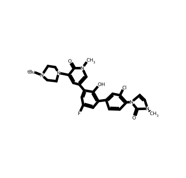 Cn1cc(-c2cc(F)cc(-c3ccc(-n4ccn(C)c4=O)c(Cl)c3)c2O)cc(N2CCN(C(C)(C)C)CC2)c1=O